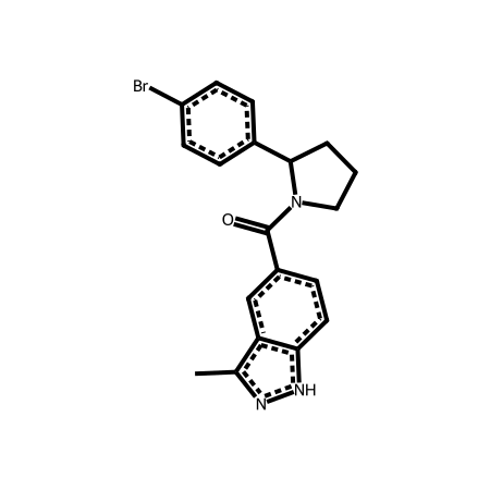 Cc1n[nH]c2ccc(C(=O)N3CCCC3c3ccc(Br)cc3)cc12